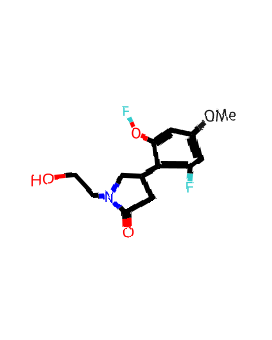 COc1cc(F)c(C2CC(=O)N(CCO)C2)c(OF)c1